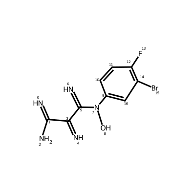 N=C(N)C(=N)C(=N)N(O)c1ccc(F)c(Br)c1